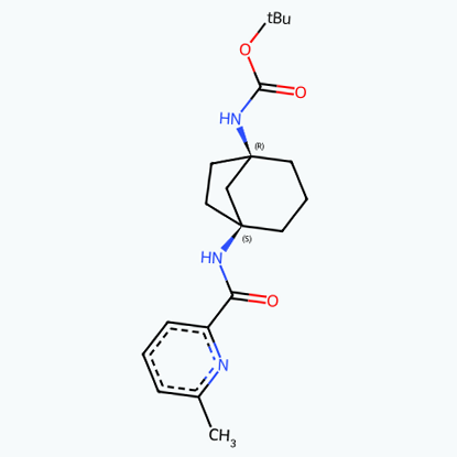 Cc1cccc(C(=O)N[C@@]23CCC[C@@](NC(=O)OC(C)(C)C)(CC2)C3)n1